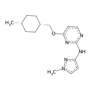 Cn1ccc(Nc2nccc(OC[C@H]3CC[C@@H](C)CC3)n2)n1